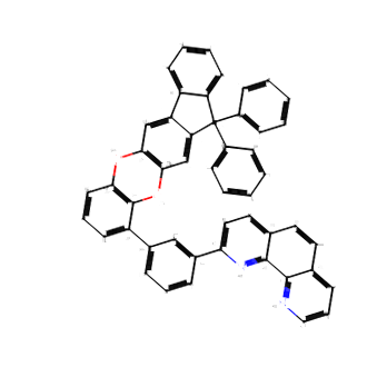 c1ccc(C2(c3ccccc3)c3ccccc3-c3cc4c(cc32)Oc2c(cccc2-c2cccc(-c3ccc5ccc6cccnc6c5n3)c2)O4)cc1